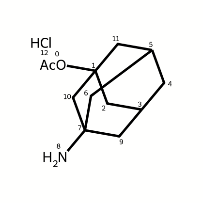 CC(=O)OC12CC3CC(CC(N)(C3)C1)C2.Cl